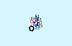 CCC1(CC)C(=O)N([Si](CC)(CC)CC)C(=O)N1c1ccccc1